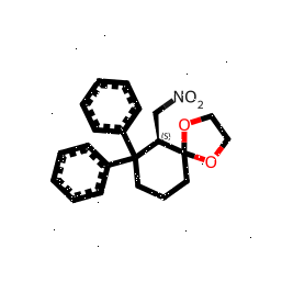 O=[N+]([O-])C[C@H]1C2(CCCC1(c1ccccc1)c1ccccc1)OCCO2